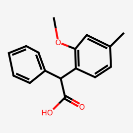 COc1cc(C)ccc1C(C(=O)O)c1ccccc1